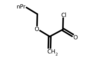 C=C(OCCCC)C(=O)Cl